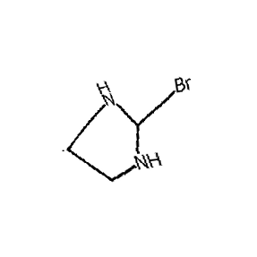 BrC1N[CH]CN1